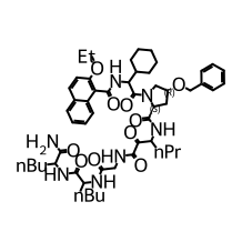 CCCCC(NC(=O)C(CCCC)NC(=O)CNC(=O)C(=O)C(CCC)NC(=O)[C@@H]1C[C@@H](OCc2ccccc2)CN1C(=O)C(NC(=O)c1c(OCC)ccc2ccccc12)C1CCCCC1)C(N)=O